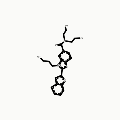 CC(C)CCN(CCC(C)C)C(=O)c1ccc2nc(-c3cc4ccccc4s3)n(CCCC#N)c2c1